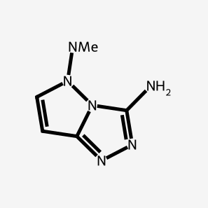 CNn1ccc2nnc(N)n21